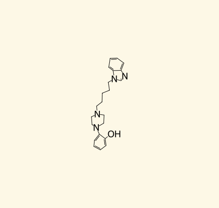 Oc1ccccc1N1CCN(CCCCCn2cnc3ccccc32)CC1